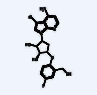 Nc1ccnc2c1c(Cl)cn2C1CC(Oc2ccc(F)cc2CO)[C@@H](O)[C@H]1O